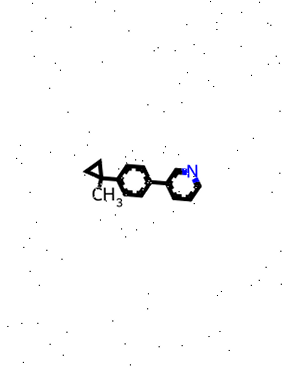 CC1(c2ccc(-c3cccnc3)cc2)CC1